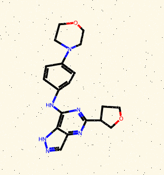 c1cc(N2CCOCC2)ccc1Nc1nc(C2CCOC2)nc2cn[nH]c12